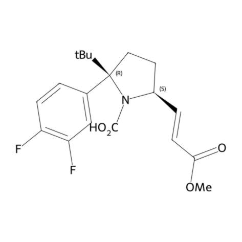 COC(=O)C=C[C@@H]1CC[C@](c2ccc(F)c(F)c2)(C(C)(C)C)N1C(=O)O